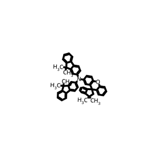 CC1(C)CC2(c3ccccc3Oc3ccc(N(c4ccc5c(c4)C(C)(C)c4ccccc4-5)c4ccc5c(c4)C(C)(C)c4ccccc4-5)cc32)c2ccccc21